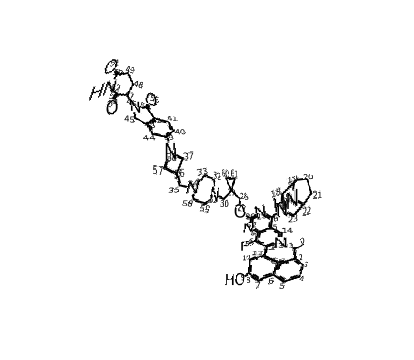 CCc1cccc2cc(O)cc(-c3ncc4c(N5CC6CCC(C5)N6)nc(OCC5(CN6CCN(CC7CN(c8ccc9c(c8)CN(C8CCC(=O)NC8=O)C9=O)C7)CC6)CC5)nc4c3F)c12